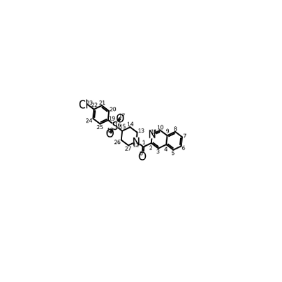 O=C(c1cc2ccccc2cn1)N1CCC(S(=O)(=O)c2ccc(Cl)cc2)CC1